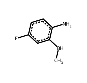 CBc1cc(F)ccc1N